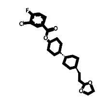 O=C(OC1CCC([C@H]2CC[C@H](CCC3OCCO3)CC2)CC1)c1ccc(F)c(Cl)c1